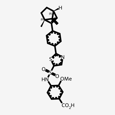 C=C1[C@H]2C=C(c3ccc(-c4ncc(S(=O)(=O)Nc5ccc(C(=O)O)cc5OC)s4)cc3)[C@]1(C)CC2